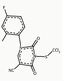 Cc1cc(F)ccc1-n1cc(C#N)c(=O)n(SC(Cl)(Cl)Cl)c1=O